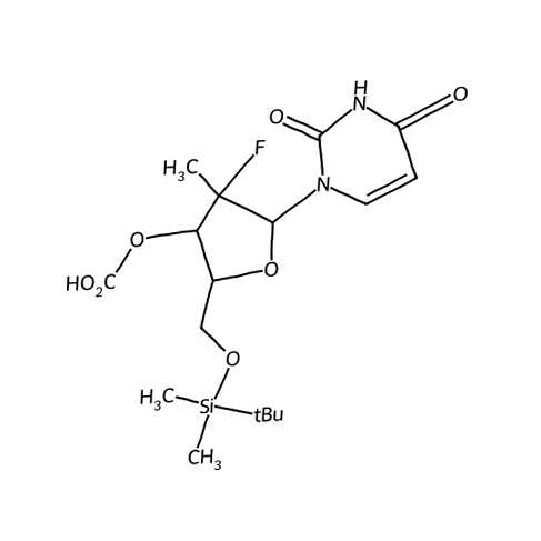 CC1(F)C(OC(=O)O)C(CO[Si](C)(C)C(C)(C)C)OC1n1ccc(=O)[nH]c1=O